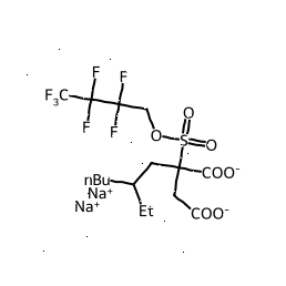 CCCCC(CC)CC(CC(=O)[O-])(C(=O)[O-])S(=O)(=O)OCC(F)(F)C(F)(F)C(F)(F)F.[Na+].[Na+]